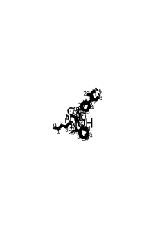 CCCCc1nc(=O)c(S(=O)(=O)c2ccc(-c3ccncc3C)cc2)c(O)n1[C@H](C)c1ccccc1